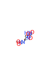 Cn1c(=O)n(C2CCC(=O)NC2=O)c2cccc(C34CC(CN5CCN(C(=O)OC(C)(C)C)CC5)(C3)C4)c21